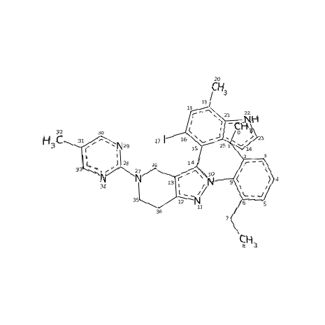 CCc1cccc(CC)c1-n1nc2c(c1-c1c(I)cc(C)c3[nH]ccc13)CN(c1ncc(C)cn1)CC2